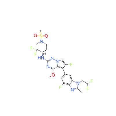 COc1nc(N[C@@H]2CCN(S(C)(=O)=O)CC2(F)F)nn2cc(F)c(-c3cc(F)c4nc(C)n(CC(F)F)c4c3)c12